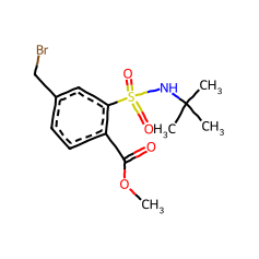 COC(=O)c1ccc(CBr)cc1S(=O)(=O)NC(C)(C)C